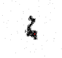 COC(=O)c1cc(C)nc(OCCCCOc2cccc(C[C@H](NC(=O)OC(C)(C)C)[C@H](O)CN(C(=O)OC(C)(C)C)C3(c4cccc(C(C)C)c4)CC3)c2)c1